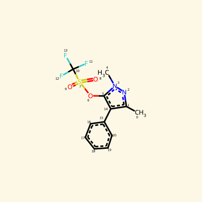 Cc1nn(C)c(OS(=O)(=O)C(F)(F)F)c1-c1ccccc1